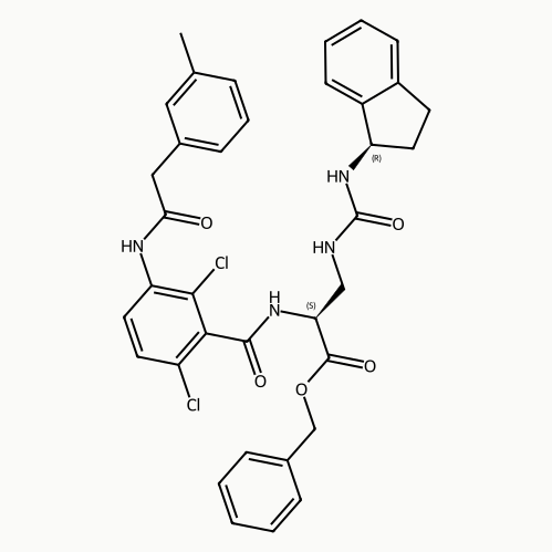 Cc1cccc(CC(=O)Nc2ccc(Cl)c(C(=O)N[C@@H](CNC(=O)N[C@@H]3CCc4ccccc43)C(=O)OCc3ccccc3)c2Cl)c1